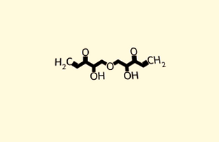 C=CC(=O)C(O)COCC(O)C(=O)C=C